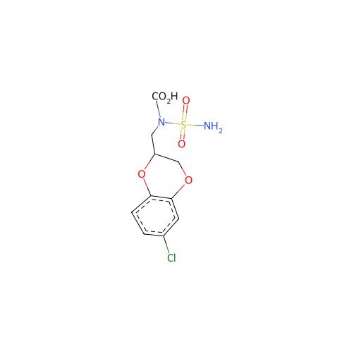 NS(=O)(=O)N(CC1COc2cc(Cl)ccc2O1)C(=O)O